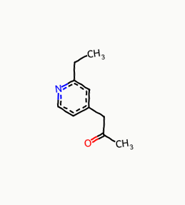 CCc1cc(CC(C)=O)ccn1